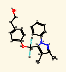 Cc1nn(-c2ccccc2)c(C(F)(F)Oc2ccc(CCO)cc2)c1C#N